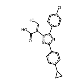 O=C(O)C(=CO)c1sc(-c2ccc(C3CC3)cc2)nc1-c1ccc(Cl)cc1